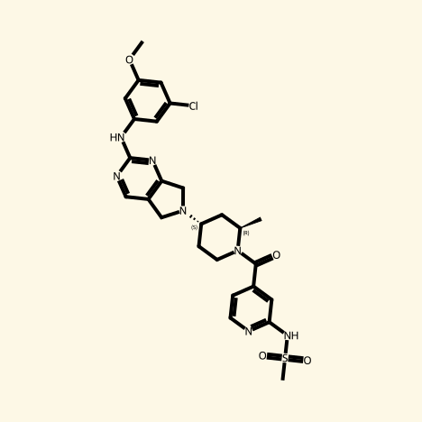 COc1cc(Cl)cc(Nc2ncc3c(n2)CN([C@H]2CCN(C(=O)c4ccnc(NS(C)(=O)=O)c4)[C@H](C)C2)C3)c1